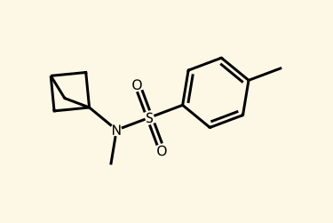 Cc1ccc(S(=O)(=O)N(C)C23CC(C2)C3)cc1